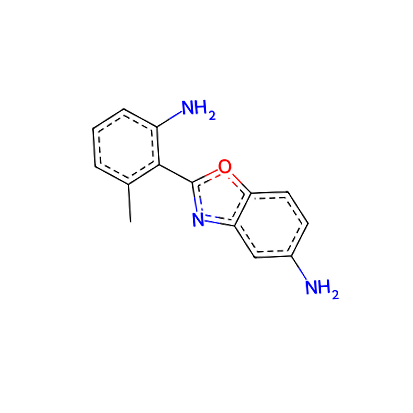 Cc1cccc(N)c1-c1nc2cc(N)ccc2o1